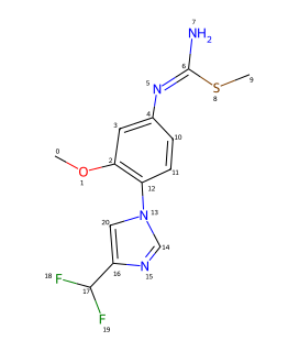 COc1cc(N=C(N)SC)ccc1-n1cnc(C(F)F)c1